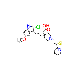 COc1ccc2ncc(Cl)c(CCCC3(CC(=O)O)CCN(CCC(S)c4ccccn4)CC3)c2c1